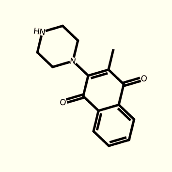 CC1=C(N2CCNCC2)C(=O)c2ccccc2C1=O